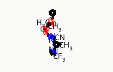 Cc1cc(-c2nccc(C(F)(F)F)n2)cc(-c2nn(CCOC(=O)OCC(C)(C)C(=O)OCc3ccccc3)nc2C#N)c1